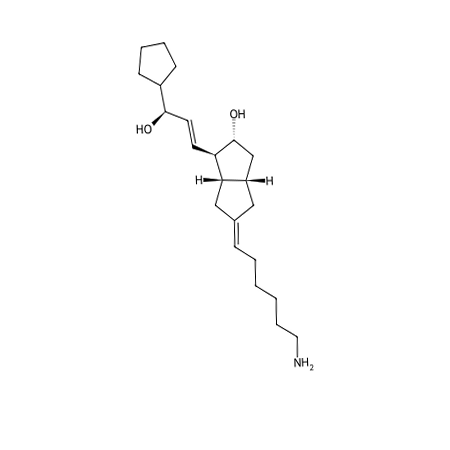 NCCCCC/C=C1\C[C@H]2C[C@@H](O)[C@H](/C=C/[C@@H](O)C3CCCC3)[C@H]2C1